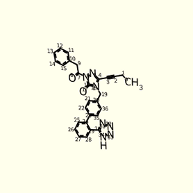 CCC#Cc1nn(C(=O)Cc2ccccc2)c(=O)n1Cc1ccc(-c2ccccc2-c2nnn[nH]2)cc1